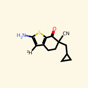 [2H]c1c(N)sc2c1CCC(C#N)(CC1CC1)C2=O